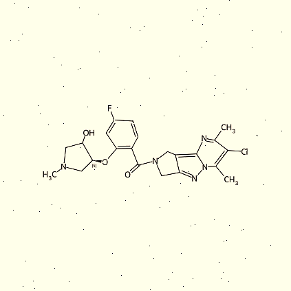 Cc1nc2c3c(nn2c(C)c1Cl)CN(C(=O)c1ccc(F)cc1O[C@H]1CN(C)CC1O)C3